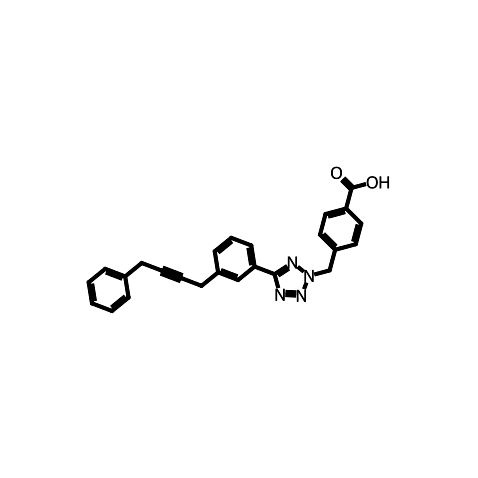 O=C(O)c1ccc(Cn2nnc(-c3cccc(CC#CCc4ccccc4)c3)n2)cc1